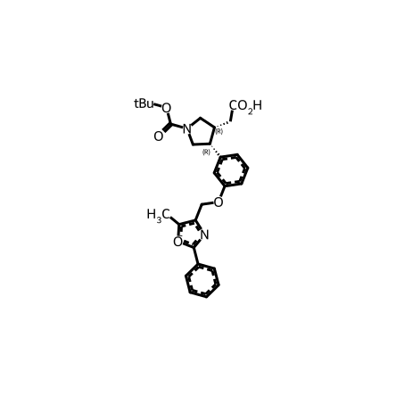 Cc1oc(-c2ccccc2)nc1COc1cccc([C@@H]2CN(C(=O)OC(C)(C)C)C[C@@H]2CC(=O)O)c1